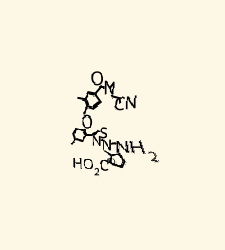 Cc1ccc(OCc2ccc(C(=O)N(C)CCC#N)cc2C)c(-c2csc(N(CN)CC3CCC[C@H]3C(=O)O)n2)c1